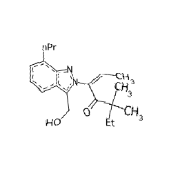 C/C=C(\C(=O)C(C)(C)CC)n1nc2c(CCC)cccc2c1CO